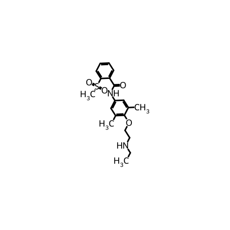 CCNCCOc1c(C)cc(NC(=O)c2ccccc2S(C)(=O)=O)cc1C